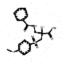 COc1ccc(S(=O)(=O)CC(O)(CNC(=O)c2ccccc2)C(=O)O)cc1